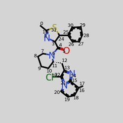 CC1=NC(C(=O)N2CCCC[C@H]2Cc2nc3c(C)cccn3c2Cl)C(c2ccccc2)S1